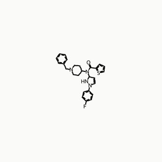 O=C(c1cccs1)N(C1CCN(Cc2ccccc2)CC1)C1C=CN(c2ccc(F)cc2)N1